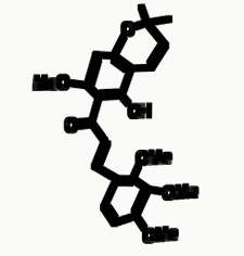 COc1ccc(/C=C/C(=O)c2c(OC)cc3c(c2O)C=CC(C)(C)O3)c(OC)c1OC